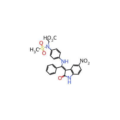 CS(=O)(=O)N(CC(=O)O)c1ccc(NC(=C2C(=O)Nc3ccc([N+](=O)[O-])cc32)c2ccccc2)cc1